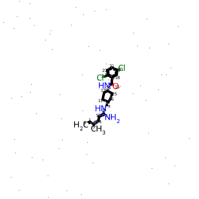 C=C/C(C)=C\C=C(/N)NC[C@H]1CC[C@H](NC(=O)c2cc(Cl)ccc2Cl)CC1